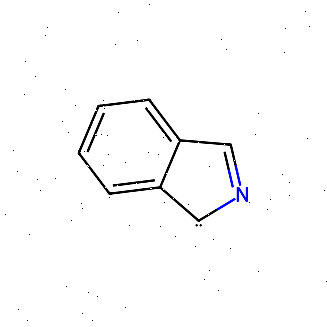 [C]1N=Cc2ccccc21